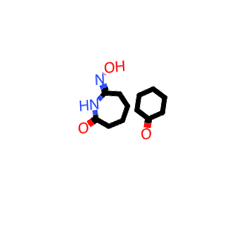 O=C1CCCCC(=NO)N1.O=C1CCCCC1